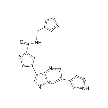 O=C(NCc1ccsc1)c1cc(-c2cnn3cc(-c4cn[nH]c4)cnc23)cs1